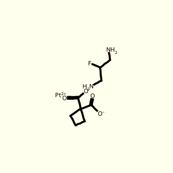 NCC(F)CN.O=C([O-])C1(C(=O)[O-])CCC1.[Pt+2]